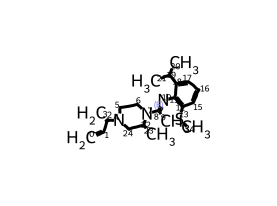 C=CC(=C)N1CCN(/C(C)=N/c2c(SC)cccc2C(C)C)C(C)C1